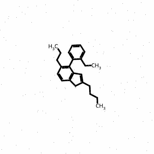 CCCCC1=Cc2c(ccc(CCC)c2-c2ccccc2CC)[CH]1